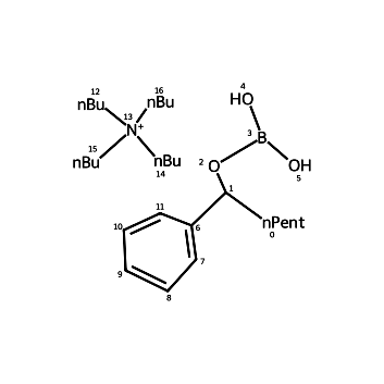 CCCCCC(OB(O)O)c1ccccc1.CCCC[N+](CCCC)(CCCC)CCCC